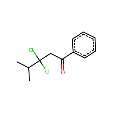 CC(C)C(Cl)(Cl)CC(=O)c1ccccc1